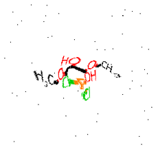 CCOCC(O)COCC.OP(Cl)Cl